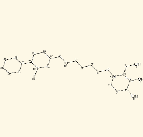 OCC1C(O)[C@H](O)CCN1CCCCCOCC1CCC(C2CCCCC2)C(F)C1